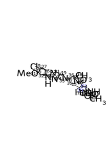 C/C=C\C(=C/C(=N)NS(C)(=O)=O)C(=O)N1CC[C@@H](N2Cc3cnc(Nc4ccc(Cl)c(OC)c4)nc3C2)C[C@H]1C